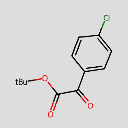 CC(C)(C)OC(=O)C(=O)c1ccc(Cl)cc1